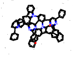 c1ccc(-c2ccc3c(c2)c2cc(-c4ccccc4)ccc2n3-c2c(-c3cc(-c4ccccc4)nc(-c4ccccc4)n3)ccc(-n3c4ccccc4c4cc(-c5cccc(-c6ccccc6)n5)ccc43)c2-c2cc(-c3ccccc3)nc(-c3ccccc3)n2)cc1